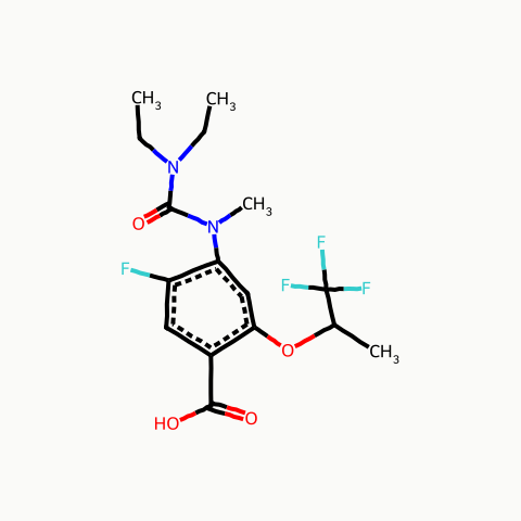 CCN(CC)C(=O)N(C)c1cc(OC(C)C(F)(F)F)c(C(=O)O)cc1F